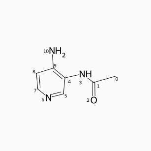 CC(=O)Nc1cnccc1N